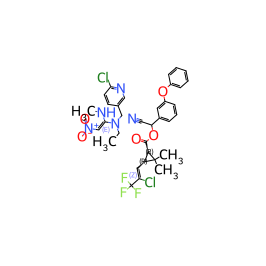 CC1(C)[C@H](C(=O)OC(C#N)c2cccc(Oc3ccccc3)c2)[C@@H]1/C=C(\Cl)C(F)(F)F.CCN(Cc1ccc(Cl)nc1)/C(=C/[N+](=O)[O-])NC